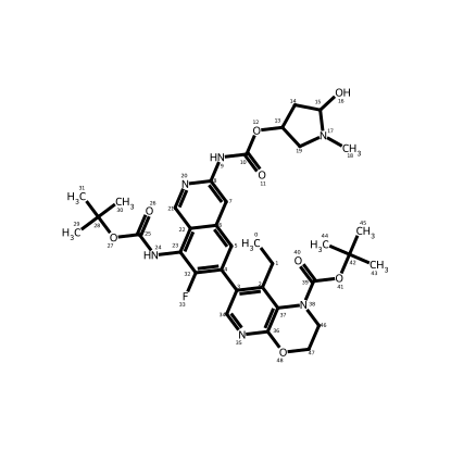 CCc1c(-c2cc3cc(NC(=O)OC4CC(O)N(C)C4)ncc3c(NC(=O)OC(C)(C)C)c2F)cnc2c1N(C(=O)OC(C)(C)C)CCO2